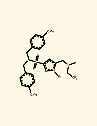 COc1ccc(CN(Cc2ccc(OC)cc2)S(=O)(=O)c2cc(CN(C)CC(F)(F)F)n(C(C)C)n2)cc1